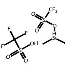 C[SiH](C)OS(=O)(=O)C(F)(F)F.O=S(=O)(O)C(F)(F)F